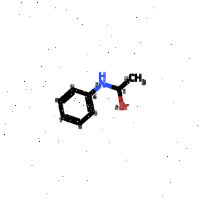 CC(Br)Nc1ccccc1